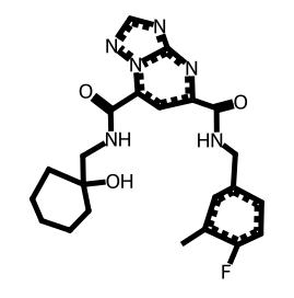 Cc1cc(CNC(=O)c2cc(C(=O)NCC3(O)CCCCC3)n3ncnc3n2)ccc1F